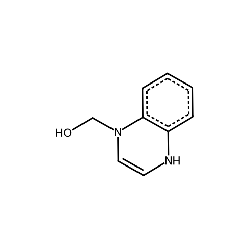 OCN1C=CNc2ccccc21